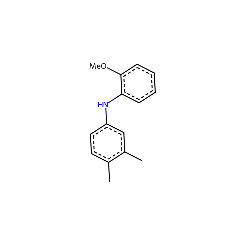 COc1ccccc1Nc1ccc(C)c(C)c1